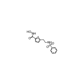 O=C(NO)c1ccc(CCNS(=O)(=O)c2ccccc2)s1